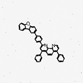 c1ccc(-c2ccnc3c2ccc2c(-c4ccccc4)cc(-c4ccc(-c5ccc6oc7ccccc7c6c5)cc4)nc23)cc1